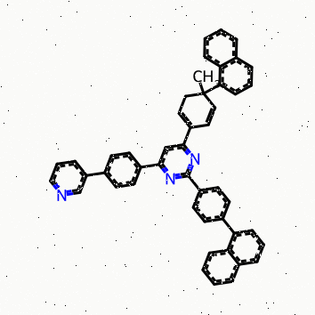 CC1(c2cccc3ccccc23)C=CC(c2cc(-c3ccc(-c4cccnc4)cc3)nc(-c3ccc(-c4cccc5ccccc45)cc3)n2)=CC1